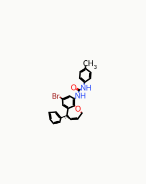 Cc1ccc(NC(=O)Nc2cc(Br)cc3c2OCC=C[C@H]3c2ccccc2)cc1